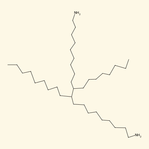 CCCCCCCCCC(CCCCCCCCCN)C(CCCCCCCC)CCCCCCCCCN